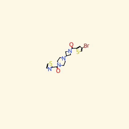 O=C(c1cc(Br)cs1)N1CC(N2CCN(C(=O)c3nccs3)CC2)C1